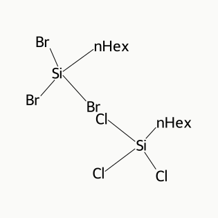 CCCCCC[Si](Br)(Br)Br.CCCCCC[Si](Cl)(Cl)Cl